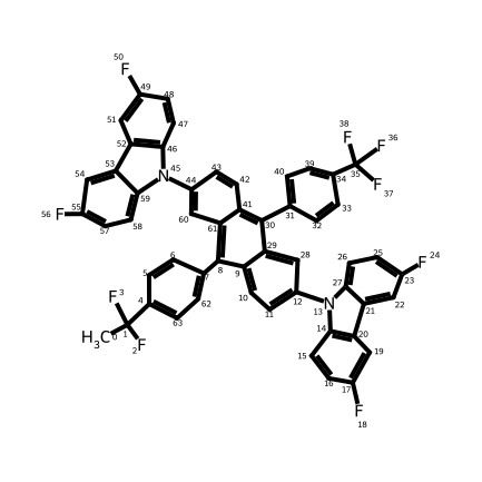 CC(F)(F)c1ccc(-c2c3ccc(-n4c5ccc(F)cc5c5cc(F)ccc54)cc3c(-c3ccc(C(F)(F)F)cc3)c3ccc(-n4c5ccc(F)cc5c5cc(F)ccc54)cc23)cc1